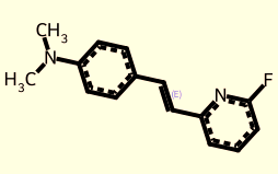 CN(C)c1ccc(/C=C/c2cccc(F)n2)cc1